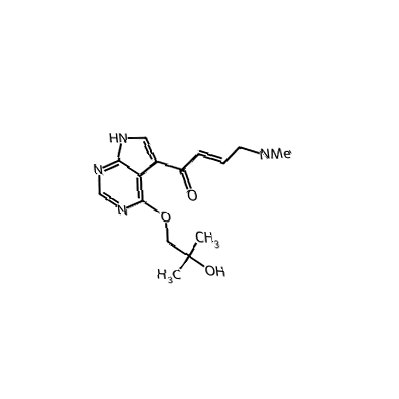 CNC/C=C/C(=O)c1c[nH]c2ncnc(OCC(C)(C)O)c12